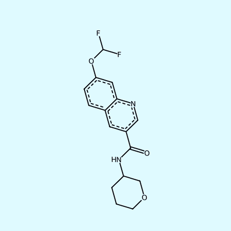 O=C(NC1CCCOC1)c1cnc2cc(OC(F)F)ccc2c1